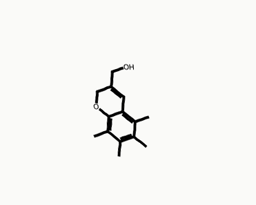 Cc1c(C)c(C)c2c(c1C)C=C(CO)CO2